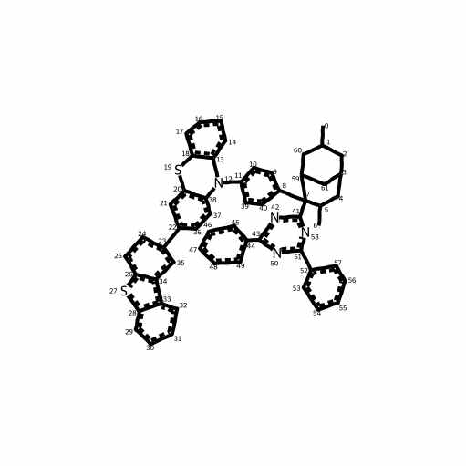 CC1CC2CC(C)C(c3ccc(N4c5ccccc5Sc5cc(-c6ccc7sc8ccccc8c7c6)ccc54)cc3)(c3nc(-c4ccccc4)nc(-c4ccccc4)n3)C(C1)C2